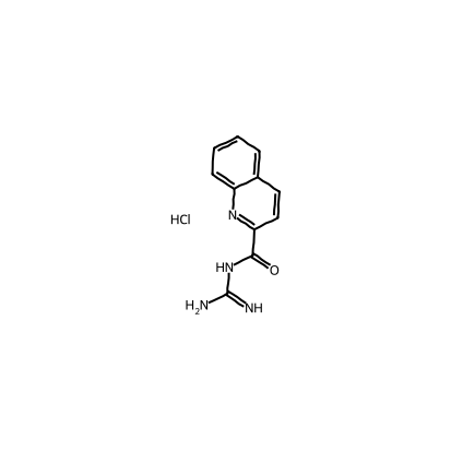 Cl.N=C(N)NC(=O)c1ccc2ccccc2n1